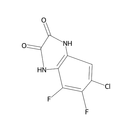 O=c1[nH]c2cc(Cl)c(F)c(F)c2[nH]c1=O